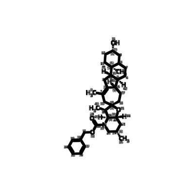 CC1=C2C[C@H]3[C@@H](CCC4C[C@@H](O)CC[C@@]43C)[C@@H]2CC[C@@]2(C1)O[C@@H]1C[C@H](C)CN(C(=O)OCc3ccccc3)[C@H]1[C@H]2C